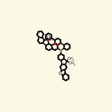 CC1(C)c2cc(N(c3ccc4c5c(ccc4c3)-c3ccc4ccccc4c3C5(C)C)c3ccccc3-c3ccc(-c4ccccc4)cc3)ccc2-c2cc3oc4ccccc4c3cc21